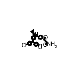 NC(=O)CCC(=O)N1CCC(c2nn(C3CC3)c3ccc(C(c4ccc(Cl)cc4)c4ccc(Cl)cc4)cc23)CC1